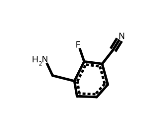 N#Cc1cccc(CN)c1F